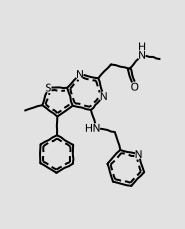 CNC(=O)Cc1nc(NCc2ccccn2)c2c(-c3ccccc3)c(C)sc2n1